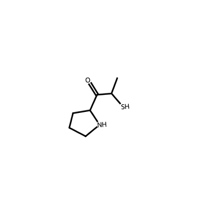 CC(S)C(=O)C1CCCN1